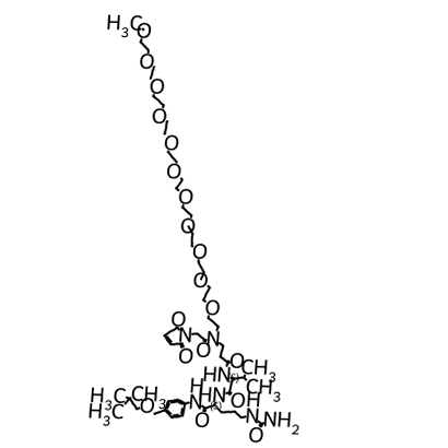 COCCOCCOCCOCCOCCOCCOCCOCCOCCOCCOCCN(CCC(=O)N[C@H](C(=O)N[C@@H](CCCNC(N)=O)C(=O)Nc1ccc(COCC(C)(C)C)cc1)C(C)C)C(=O)CN1C(=O)C=CC1=O